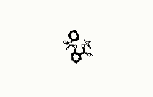 C[Si](C)(C)OC(C#N)c1ccccc1OS(=O)(=O)c1ccccc1